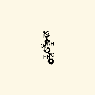 Cc1nc(-c2c[nH]c(C(=O)N3CCC(C(=O)Nc4ccccc4)CC3)c2)cs1